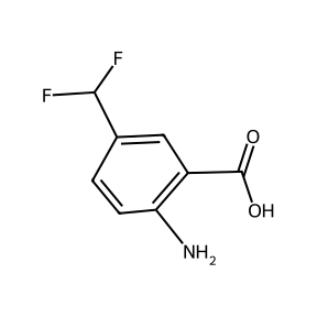 Nc1ccc(C(F)F)cc1C(=O)O